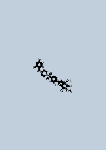 Cn1c(=O)c2[nH]c(-c3ccc(S(=O)(=O)N4CCN(Cc5ccc(F)cc5F)CC4)cc3)cc2n(C)c1=O